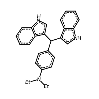 CCN(CC)c1ccc(C(c2c[nH]c3ccccc23)c2c[nH]c3ccccc23)cc1